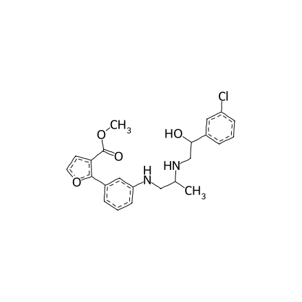 COC(=O)c1ccoc1-c1cccc(NCC(C)NCC(O)c2cccc(Cl)c2)c1